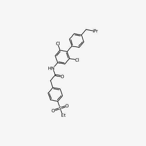 CCS(=O)(=O)c1ccc(CC(=O)Nc2cc(Cl)c(-c3ccc(CC(C)C)cc3)c(Cl)c2)cc1